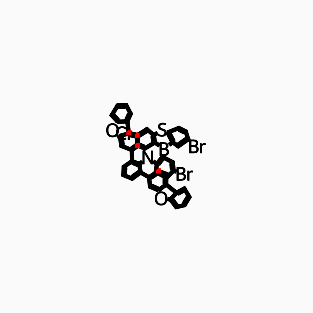 Clc1cc2c3c(c1)N(c1c(-c4ccc5c(c4)oc4ccccc45)cccc1-c1ccc4c(c1)oc1ccccc14)c1ccc(Br)cc1B3c1cc(Br)ccc1S2